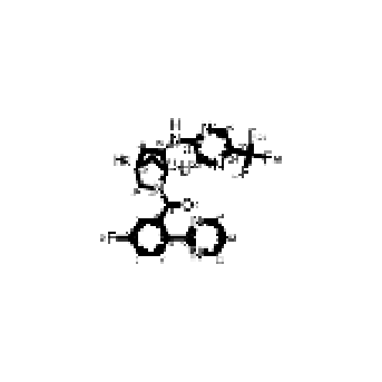 O=C(c1cc(F)ccc1-c1ncccn1)N1C[C@H]2C[C@@H](Nc3cnc(C(F)(F)F)cn3)[C@@H]1C2